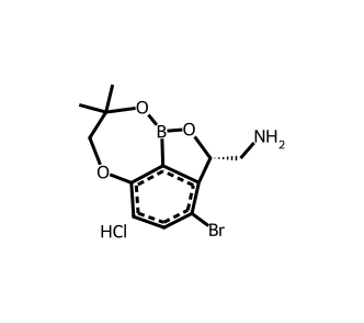 CC1(C)COc2ccc(Br)c3c2B(O[C@@H]3CN)O1.Cl